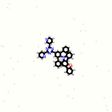 c1ccc(-c2cc(-c3nc(-c4cccnc4)nc(-c4ccccn4)n3)cc(-c3ccccc3)c2-n2c3ccccc3c3c4oc5ccccc5c4ccc32)cc1